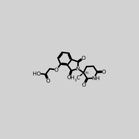 C[C@@]1(N2C(=O)c3cccc(OCC(=O)O)c3C2=O)CCC(=O)NC1=O